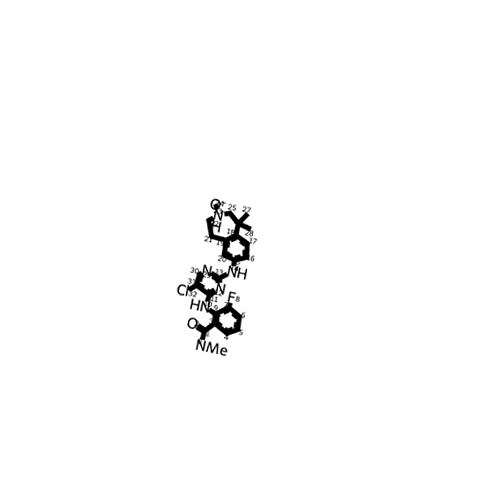 CNC(=O)c1cccc(F)c1Nc1nc(Nc2ccc3c(c2)CC[NH+]([O-])CC3(C)C)ncc1Cl